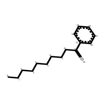 CCCCCCCCCC(=O)c1ccccc1